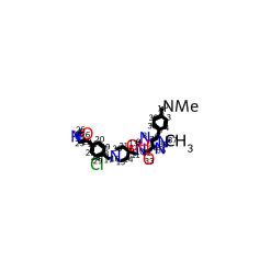 CNCc1ccc(-c2c3ncn(CC4(O)CCN(Cc5ccc(-c6cnco6)cc5Cl)CC4)c(=O)c3nn2C)cc1